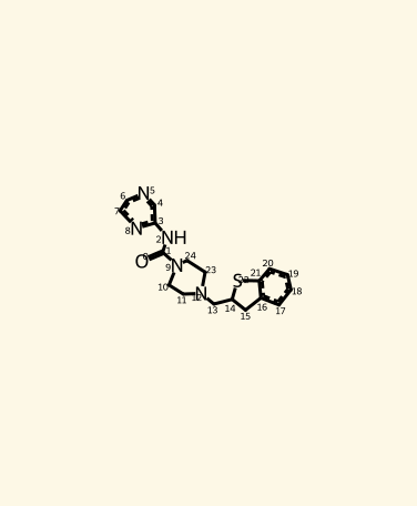 O=C(Nc1cnccn1)N1CCN(CC2Cc3ccccc3S2)CC1